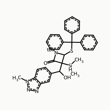 Cn1nnc2cc(C(O)C3([SiH](C)C)C(=O)N(C(C)(C)C)C3SC(c3ccccc3)(c3ccccc3)c3ccccc3)ccc21